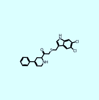 O=C(CSCc1c[nH]c2cc(Cl)c(Cl)cc12)C1CC(c2ccccc2)=CCN1